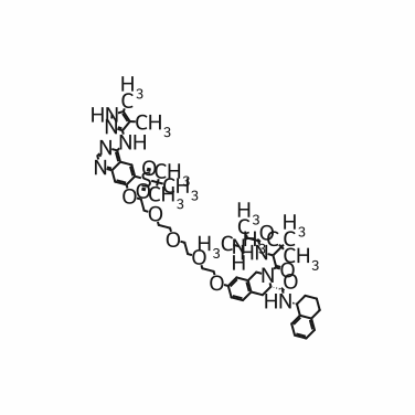 CNC(C)C(=O)NC(C(=O)N1Cc2cc(OCCOCCOCCOCCOc3cc4ncnc(Nc5n[nH]c(C)c5C)c4cc3S(=O)(=O)C(C)(C)C)ccc2C[C@H]1C(=O)N[C@@H]1CCCc2ccccc21)C(C)(C)C